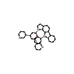 c1ccc(-n2c3ccccc3c3ccc4ccn(-c5cc(-c6cccnc6)cc(-c6cccnc6)c5)c4c32)cc1